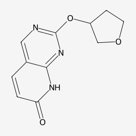 O=c1ccc2cnc(OC3CCOC3)nc2[nH]1